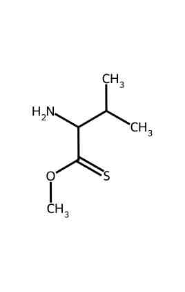 COC(=S)C(N)C(C)C